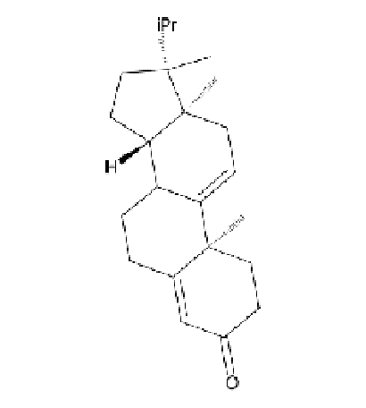 CC(C)[C@@]1(C)CC[C@H]2C3CCC4=CC(=O)CC[C@]4(C)C3=CC[C@@]21C